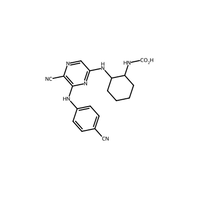 N#Cc1ccc(Nc2nc(NC3CCCCC3NC(=O)O)cnc2C#N)cc1